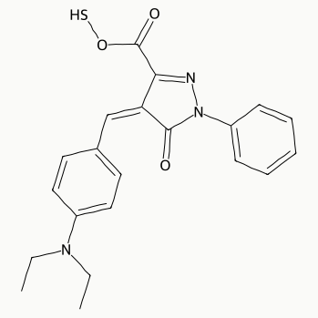 CCN(CC)c1ccc(/C=C2\C(=O)N(c3ccccc3)N=C2C(=O)OS)cc1